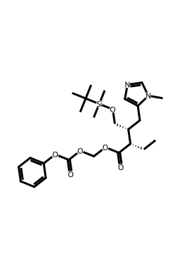 CC[C@H](C(=O)OCOC(=O)Oc1ccccc1)[C@H](CO[Si](C)(C)C(C)(C)C)Cc1cncn1C